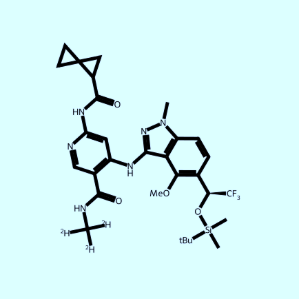 [2H]C([2H])([2H])NC(=O)c1cnc(NC(=O)C2CC23CC3)cc1Nc1nn(C)c2ccc([C@H](O[Si](C)(C)C(C)(C)C)C(F)(F)F)c(OC)c12